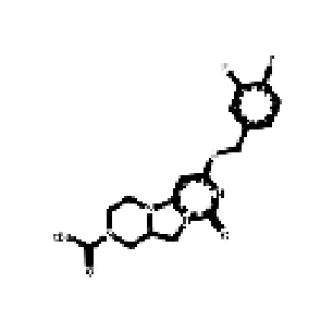 CC(C)(C)C(=O)N1CCN2c3cc(OCc4ccc(F)c(F)c4)nc(=O)n3CC2C1